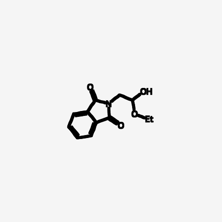 CCOC(O)CN1C(=O)c2ccccc2C1=O